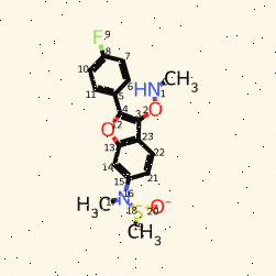 CNOc1c(-c2ccc(F)cc2)oc2cc(N(C)[S+](C)[O-])ccc12